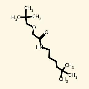 CC(C)(C)CCCCNC(=O)COCC(C)(C)C